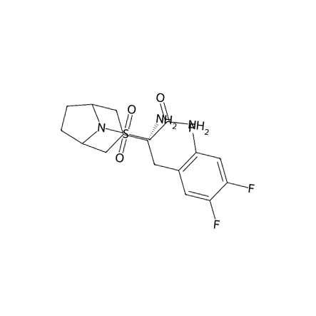 NC(=O)CS(=O)(=O)N1C2CCC1CC([C@H](N)Cc1cc(F)c(F)cc1F)C2